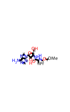 CCCC(NCOCOC)C(=O)NC1[C@@H](CO)O[C@@H](n2cnc3c(N)ncnc32)[C@H]1O